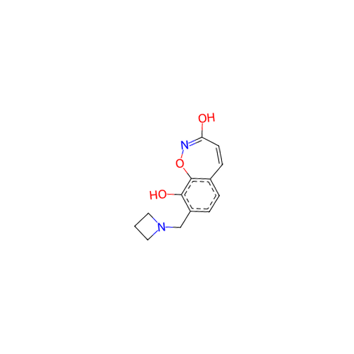 OC1=NOc2c(ccc(CN3CCC3)c2O)C=C1